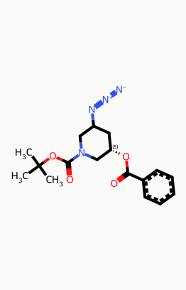 CC(C)(C)OC(=O)N1CC(N=[N+]=[N-])C[C@H](OC(=O)c2ccccc2)C1